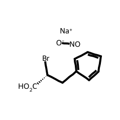 O=C(O)[C@H](Br)Cc1ccccc1.O=N[O-].[Na+]